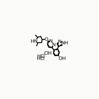 CC1CC(Oc2ccc(-c3ccc(O)cc3-c3cn[nH]c3)nn2)CC(C)N1.Cl.Cl.Cl